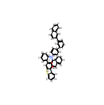 c1cc(-c2ccc(N(c3ccccc3-c3ccc4c(c3)sc3ccccc34)c3cccc4ccccc34)cc2)cc(-c2ccc3ccccc3c2)c1